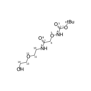 CC(C)(C)OC(=O)NOCC(=O)NCCOCCO